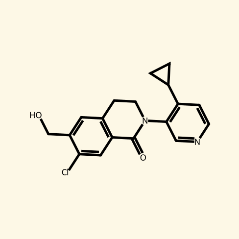 O=C1c2cc(Cl)c(CO)cc2CCN1c1cnccc1C1CC1